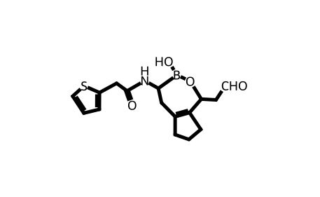 O=CCC1OB(O)C(NC(=O)Cc2cccs2)CC2=C1CCC2